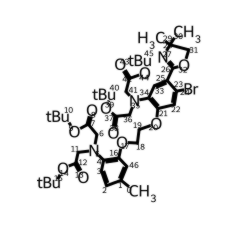 Cc1ccc(N(CC(=O)OC(C)(C)C)CC(=O)OC(C)(C)C)c(OCCOc2cc(Br)c(C3=NC(C)(C)CO3)cc2N(CC(=O)OC(C)(C)C)CC(=O)OC(C)(C)C)c1